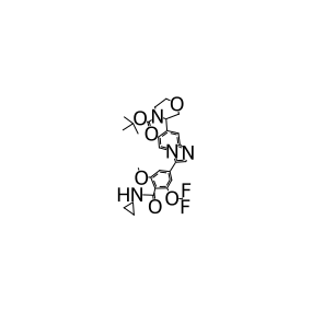 COc1cc(-c2cnc3cc(C4COCCN4C(=O)OC(C)(C)C)ccn23)cc(OC(F)F)c1C(=O)NC1CC1